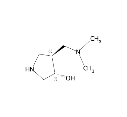 CN(C)C[C@@H]1CNC[C@H]1O